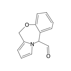 O=CC1c2ccccc2OCc2cccn21